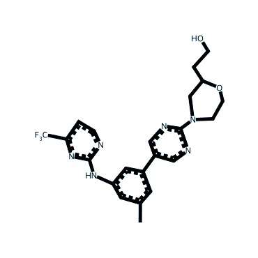 Cc1cc(Nc2nccc(C(F)(F)F)n2)cc(-c2cnc(N3CCOC(CCO)C3)nc2)c1